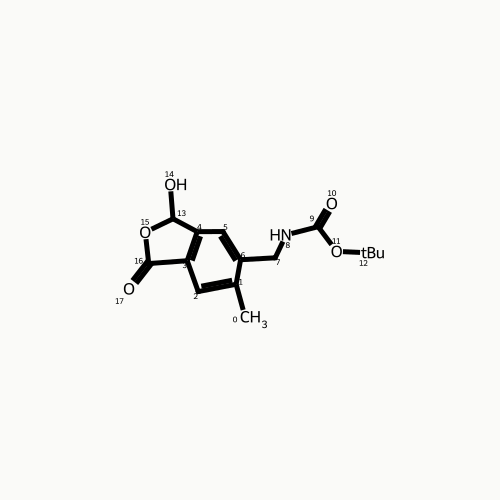 Cc1cc2c(cc1CNC(=O)OC(C)(C)C)C(O)OC2=O